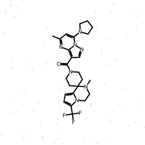 Cc1cc(N2CCCC2)n2ncc(C(=O)N3CCC4(CC3)c3ccc(C(F)(F)F)n3CCN4C)c2n1